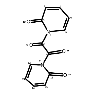 O=C(C(=O)n1ccccc1=O)n1ccccc1=O